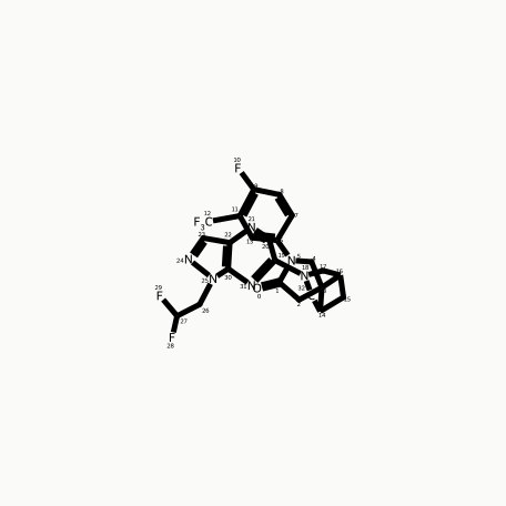 O=C1CC2(CN1c1ccc(F)c(C(F)(F)F)c1)C1CC2CN(c2cnc3cnn(CC(F)F)c3n2)C1